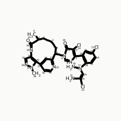 CC1CCCC(n2cnc(-c3cc(Cl)ccc3N(N)/C=C(\N)Cl)c(Cl)c2=O)c2cc(ccn2)-c2c(cnn2C)NC1=O